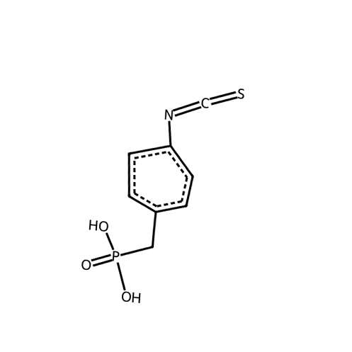 O=P(O)(O)Cc1ccc(N=C=S)cc1